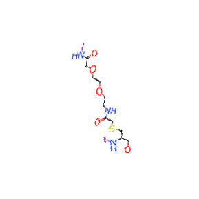 O=C[C@H](CSCC(=O)NCCOCCOCC(=O)NI)NI